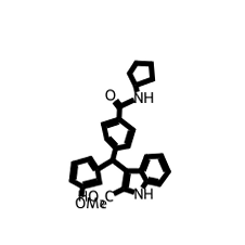 COc1cccc(C(c2ccc(C(=O)NC3CCCC3)cc2)c2c(C(=O)O)[nH]c3ccccc23)c1